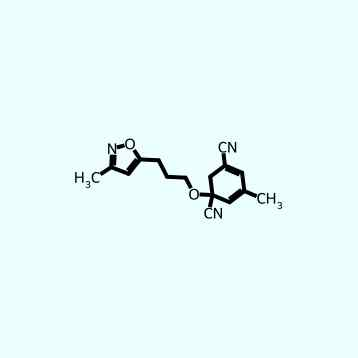 CC1=CC(C#N)(OCCCc2cc(C)no2)CC(C#N)=C1